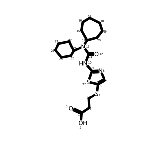 O=C(O)CCSc1cnc(NC(=O)N(C2CCCCCC2)C2CCCCC2)s1